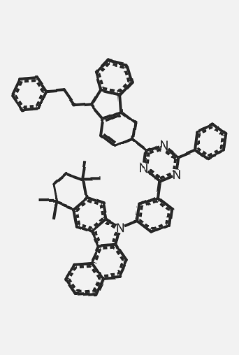 CC1(C)CCC(C)(C)c2cc3c(cc21)c1c2ccccc2ccc1n3-c1cccc(-c2nc(-c3ccccc3)nc(C3C=CC4=C(C3)c3ccccc3C4CCc3ccccc3)n2)c1